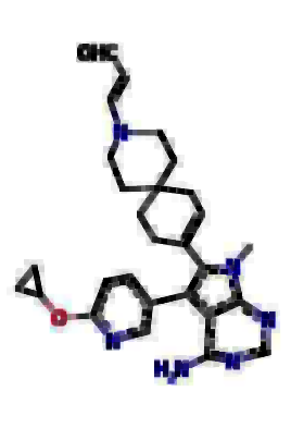 Cn1c(C2=CCC3(CC2)CCN(C=CC=O)CC3)c(-c2ccc(OC3CC3)nc2)c2c(N)ncnc21